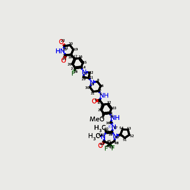 COc1cc(C(=O)NC2CCN(C3CN(c4ccc(C5CCC(=O)NC5=O)cc4F)C3)CC2)ccc1N/C=N/C1=C(C)N(C)C(=O)C(F)(F)CN1C1CCCC1